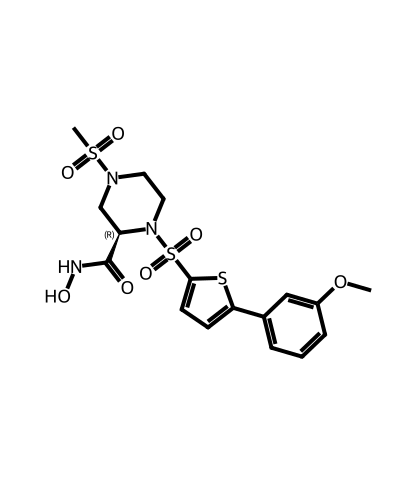 COc1cccc(-c2ccc(S(=O)(=O)N3CCN(S(C)(=O)=O)C[C@@H]3C(=O)NO)s2)c1